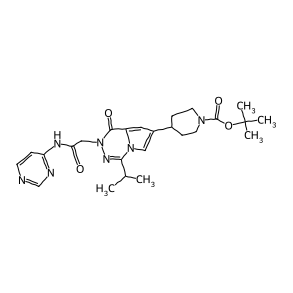 CC(C)c1nn(CC(=O)Nc2ccncn2)c(=O)c2cc(C3CCN(C(=O)OC(C)(C)C)CC3)cn12